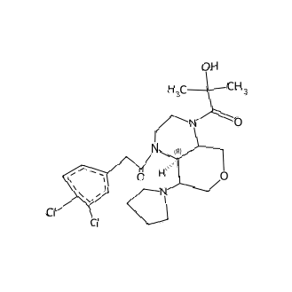 CC(C)(O)C(=O)N1CCN(C(=O)Cc2ccc(Cl)c(Cl)c2)[C@@H]2C(N3CCCC3)COCC21